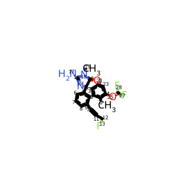 Cc1cc([C@]2(c3cccc(C#CCF)c3)N=C(N)N(C)C2=O)ccc1OC(F)F